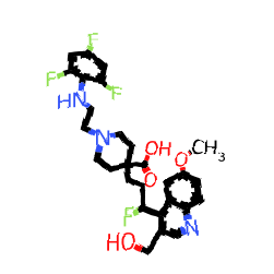 COc1ccc2ncc(CO)c(C(F)CCC3(C(=O)O)CCN(CCNc4c(F)cc(F)cc4F)CC3)c2c1